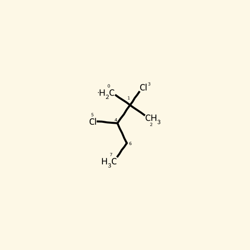 [CH2]C(C)(Cl)C(Cl)CC